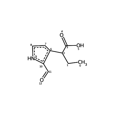 CCC(C(=O)O)c1cc[nH]c1C=O